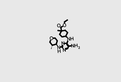 CCOC(=O)C1(C)CCC(Nc2nc(N[C@@H]3CCOC[C@H]3C)ncc2N)CC1